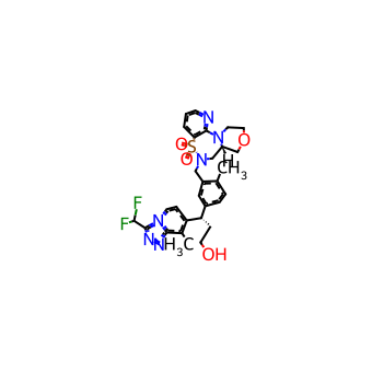 Cc1ccc([C@H](CCO)c2ccn3c(C(F)F)nnc3c2C)cc1CN1C[C@H]2COCCN2c2ncccc2S1(=O)=O